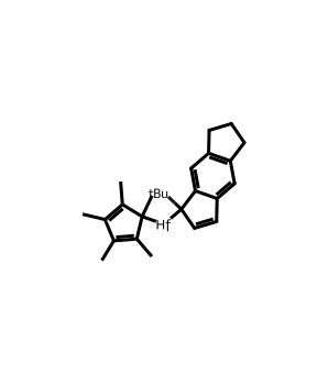 CC1=C(C)[C](C)([Hf][C]2(C(C)(C)C)C=Cc3cc4c(cc32)CCC4)C(C)=C1C